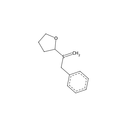 C=S(Cc1ccccc1)C1CCCO1